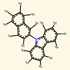 [2H]c1c([2H])c([2H])c2c([2H])c(-n3c4c([2H])c([2H])c([2H])c([2H])c4c4c([2H])c(Br)c([2H])c([2H])c43)c([2H])c([2H])c2c1[2H]